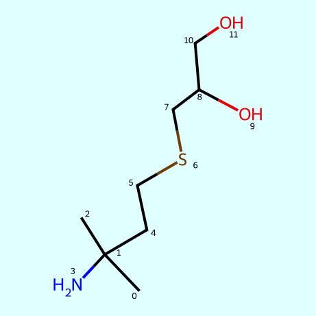 CC(C)(N)CCSCC(O)CO